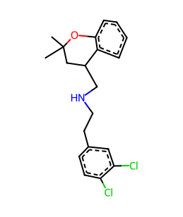 CC1(C)CC(CNCCc2ccc(Cl)c(Cl)c2)c2ccccc2O1